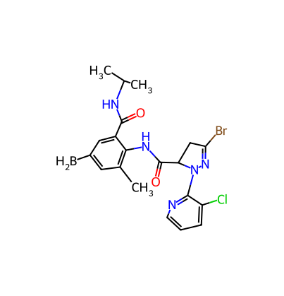 Bc1cc(C)c(NC(=O)C2CC(Br)=NN2c2ncccc2Cl)c(C(=O)NC(C)C)c1